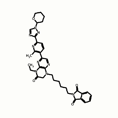 CCN1C(=O)CN(CCCCCCN2C(=O)c3ccccc3C2=O)c2ncc(-c3ccc(-c4ncn(C5CCCCO5)n4)nc3C)nc21